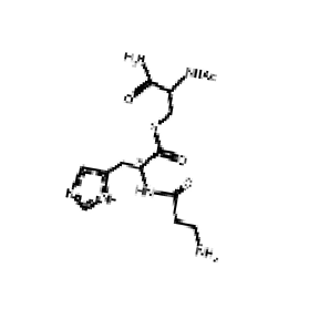 CC(=O)NC(CSC(=O)[C@H](Cc1cnc[nH]1)NC(=O)CCN)C(N)=O